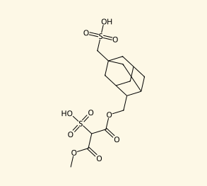 COC(=O)C(C(=O)OCC1C2CC3CC1CC(CS(=O)(=O)O)(C3)C2)S(=O)(=O)O